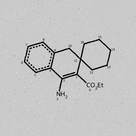 CCOC(=O)C1=C(N)c2ccccc2CC12CCCCC2